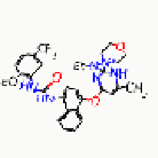 CCN1C2(N=C(Oc3ccc(NC(=O)Nc4cc(C(F)(F)F)ccc4OC)c4ccccc34)C=C(C)N2)[N+]12CCOCC2